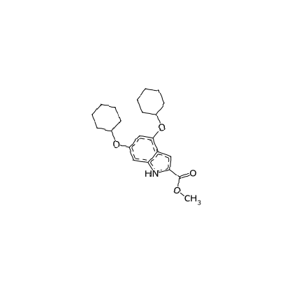 COC(=O)c1cc2c(OC3CCCCC3)cc(OC3CCCCC3)cc2[nH]1